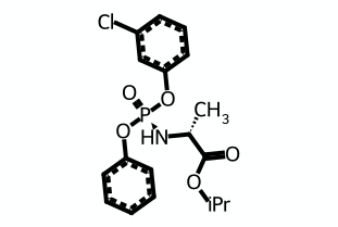 CC(C)OC(=O)[C@@H](C)N[P@](=O)(Oc1ccccc1)Oc1cccc(Cl)c1